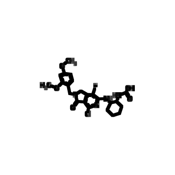 COc1ccc(CN2Cc3c(F)c(N[C@@H]4CCCC[C@@H]4NC(=O)O)nc(Cl)c3C2=O)c(OC)c1